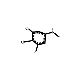 [CH2]Nc1cc(Cl)c(Cl)c(Cl)c1